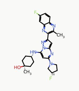 Cc1nc2ccc(F)cc2nc1-c1cc2nc(N3CC[C@H](F)C3)cc(N[C@H]3CC[C@](C)(O)CC3)n2n1